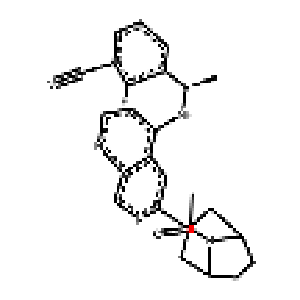 CC(=O)N1C2CCC1CN(c1cc3c(N[C@H](C)c4cccc(C#N)c4F)ccnc3cn1)C2